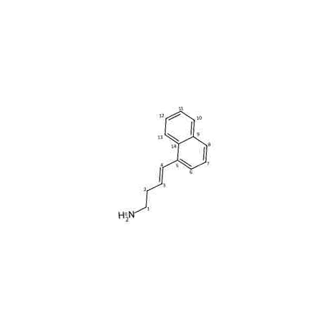 NCCC=Cc1cccc2ccccc12